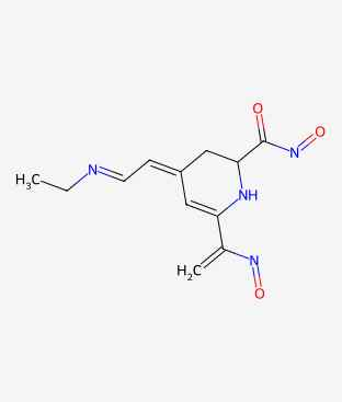 C=C(N=O)C1=C/C(=C\C=N\CC)CC(C(=O)N=O)N1